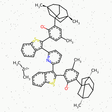 Cc1cc(-c2sc3ccccc3c2-c2cccc(-c3c(-c4cc(C)cc(C56CC7C[C@@](C)(C5)C[C@](C)(C7)C6)c4[O-])sc4ccccc34)n2)c([O-])c(C23CC4C[C@@](C)(C2)C[C@](C)(C4)C3)c1.[CH3][Zr+2][CH3]